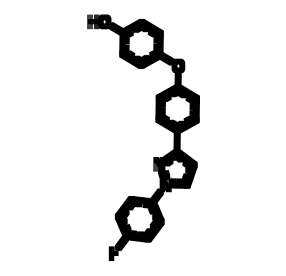 Oc1ccc(Oc2ccc(-c3ccn(-c4ccc(F)cc4)n3)cc2)cc1